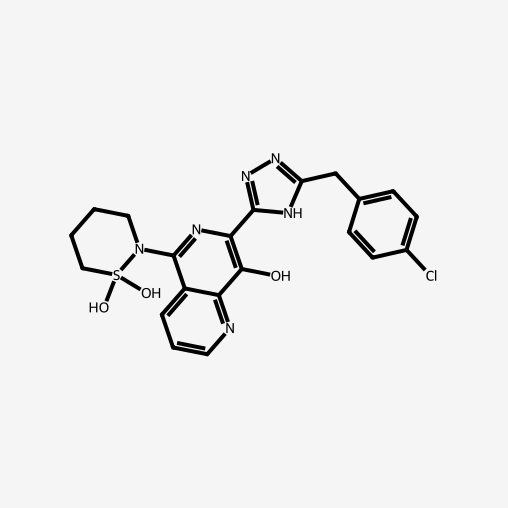 Oc1c(-c2nnc(Cc3ccc(Cl)cc3)[nH]2)nc(N2CCCCS2(O)O)c2cccnc12